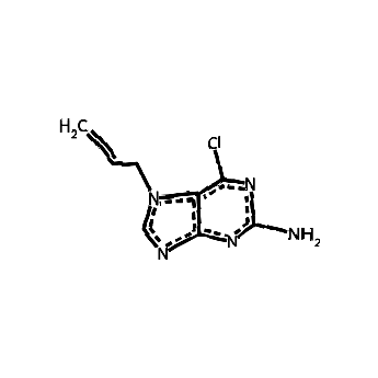 C=CCn1cnc2nc(N)nc(Cl)c21